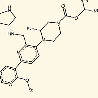 CCOc1ncccc1-c1ccc(N2CCN(C(=O)O[C@@H](C(C)(C)C)C(F)(F)F)C[C@H]2CC)c(CN[C@@H]2CCNC2)n1